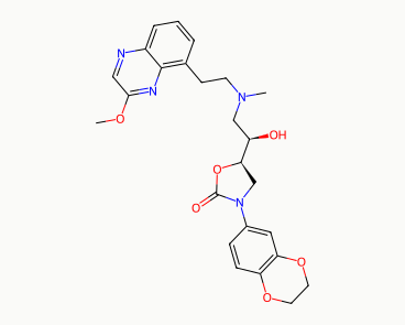 COc1cnc2cccc(CCN(C)C[C@@H](O)[C@H]3CN(c4ccc5c(c4)OCCO5)C(=O)O3)c2n1